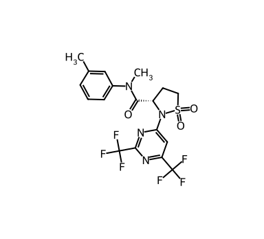 Cc1cccc(N(C)C(=O)[C@@H]2CCS(=O)(=O)N2c2cc(C(F)(F)F)nc(C(F)(F)F)n2)c1